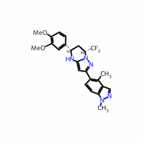 COc1ccc([C@@H]2C[C@H](C(F)(F)F)n3nc(-c4ccc5c(cnn5C)c4C)cc3N2)cc1OC